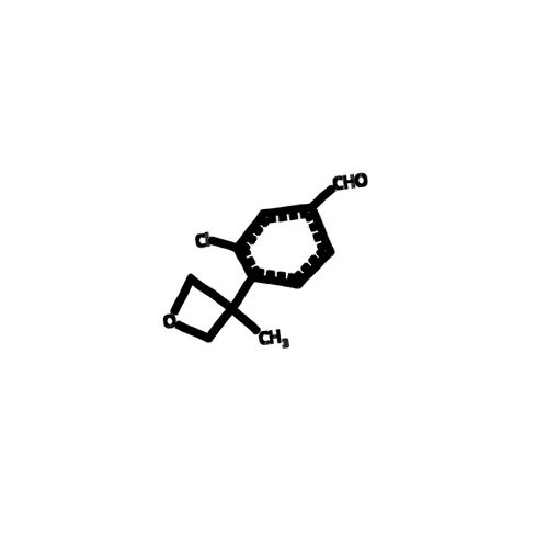 CC1(c2ccc(C=O)cc2Cl)COC1